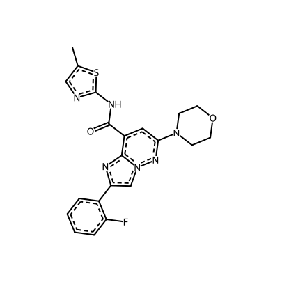 Cc1cnc(NC(=O)c2cc(N3CCOCC3)nn3cc(-c4ccccc4F)nc23)s1